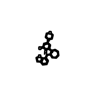 O=c1cc(N2CCOCC2)cc(N2CCCCCC2Cc2cccc3c2OCC3)[nH]1